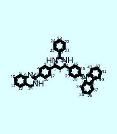 C1=C(c2ccc(C3=Nc4ccccc4CN3)cc2)NC(c2ccccc2)NC1c1ccc(-n2c3ccccc3c3ccccc32)cc1